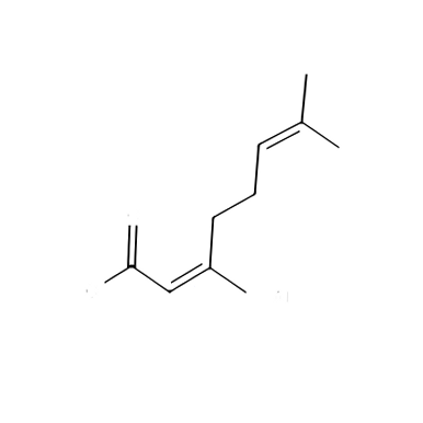 CC(C)=CCC/C(C)=C\C(=O)[O-].[At+]